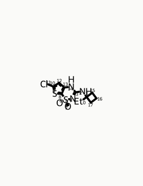 CCC1(NC2=NS(=O)(=O)c3sc(Cl)cc3N2)CCC1